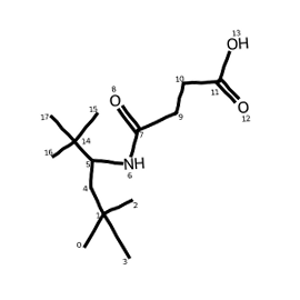 CC(C)(C)CC(NC(=O)CCC(=O)O)C(C)(C)C